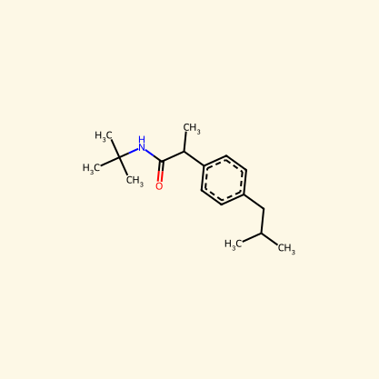 CC(C)Cc1ccc(C(C)C(=O)NC(C)(C)C)cc1